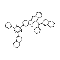 c1ccc(-c2nc(-c3ccc4ccccc4c3)nc(-c3ccc4c(c3)oc3c(N(c5ccccc5)c5ccc6ccccc6c5)c5ccccc5cc34)n2)cc1